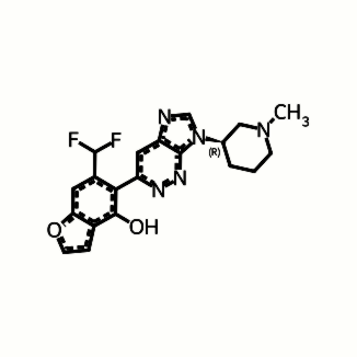 CN1CCC[C@@H](n2cnc3cc(-c4c(C(F)F)cc5occc5c4O)nnc32)C1